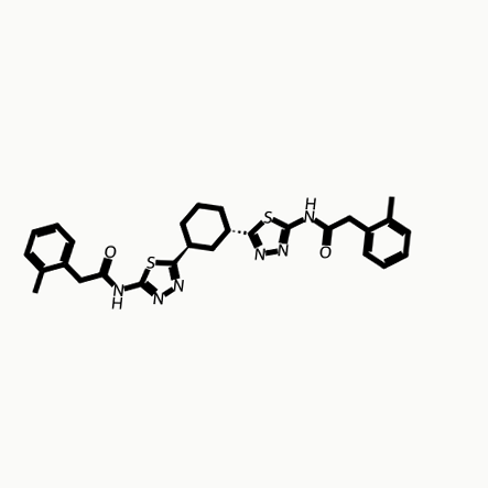 Cc1ccccc1CC(=O)Nc1nnc([C@H]2CCC[C@H](c3nnc(NC(=O)Cc4ccccc4C)s3)C2)s1